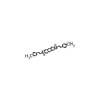 Cc1ccc(C=Cc2cc3cc4cc5cc6sc(C=Cc7ccc(C)cc7)cc6cc5cc4cc3s2)cc1